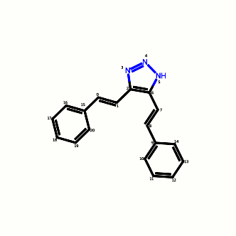 C(=Cc1nn[nH]c1C=Cc1ccccc1)c1ccccc1